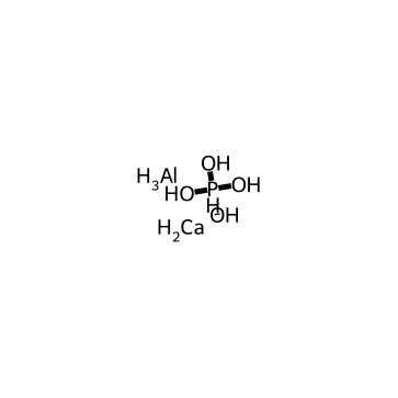 O[PH](O)(O)O.[AlH3].[CaH2]